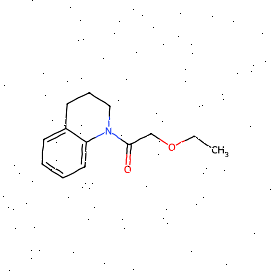 CCOCC(=O)N1CCCc2ccccc21